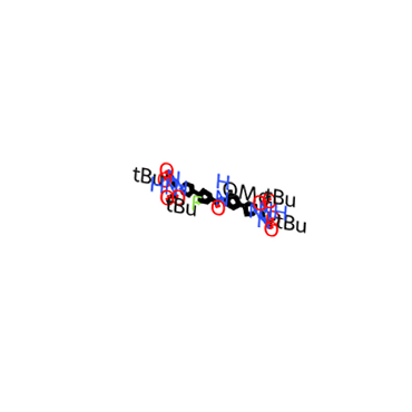 COc1cc(C2=CCN(C(=NC(=O)OC(C)(C)C)NC(=O)OC(C)(C)C)CC2)ccc1NC(=O)c1ccc(C2=CCN(C(=NC(=O)OC(C)(C)C)NC(=O)OC(C)(C)C)CC2)c(F)c1